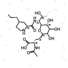 CCCC1CCN[C@H](C(=O)N[C@@H](C2O[C@H](SC[C@H](NC(C)=O)C(=O)O)C(O)C(O)[C@H]2O)[C@@H](C)O)C1